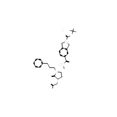 CC(C)(C)OC(=O)N1Cc2ccc(C(=O)NC[C@@H]3C[C@@H](CC(=O)O)C(=O)N3CCCc3ccccc3)cc2C1